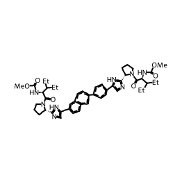 CCC(CC)[C@H](NC(=O)OC)C(=O)N1CCC[C@H]1c1ncc(-c2ccc(-c3ccc4cc(-c5cnc([C@@H]6CCCN6C(=O)[C@@H](NC(=O)OC)C(CC)CC)[nH]5)ccc4c3)cc2)[nH]1